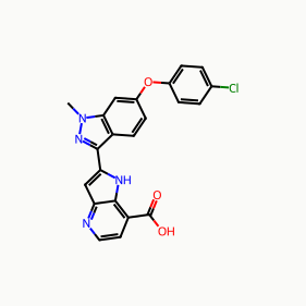 Cn1nc(-c2cc3nccc(C(=O)O)c3[nH]2)c2ccc(Oc3ccc(Cl)cc3)cc21